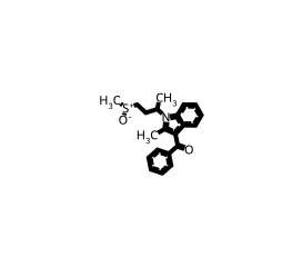 Cc1c(C(=O)c2ccccc2)c2ccccc2n1C(C)CC[S+](C)[O-]